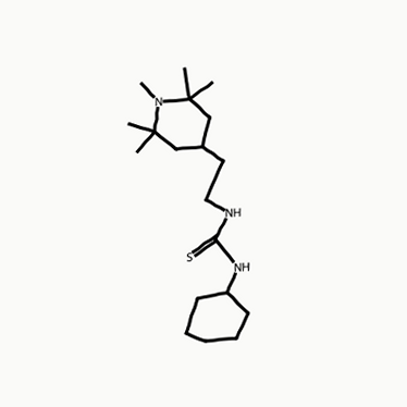 CN1C(C)(C)CC(CCNC(=S)NC2CCCCC2)CC1(C)C